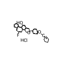 Cl.Oc1cc2c(c3c1=c1ccccc1=CC(F)=C3)COC(c1ccc(OCCN3CCCCC3)cc1)C=2